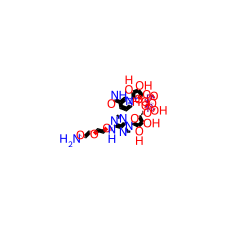 NOCCOCCONc1ncnc2c1ncn2[C@@H]1O[C@H](COP(=O)(O)OP(=O)(O)O[C@@H]2O[C@H]([n+]3cccc(C(N)=O)c3)C(O)C2O)C(O)C1O